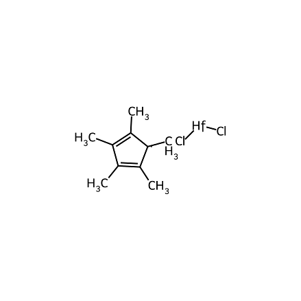 C[C]1C(C)=C(C)C(C)=C1C.[Cl][Hf][Cl]